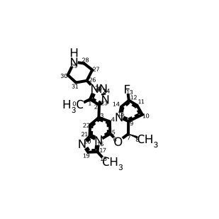 Cc1c(-c2cc(O[C@H](C)c3ccc(F)cn3)n3c(C)cnc3c2)nnn1C1CCNCC1